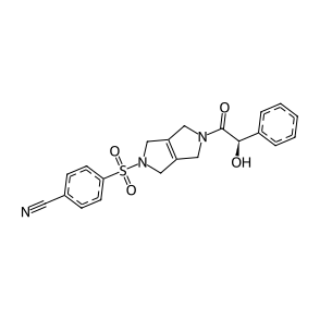 N#Cc1ccc(S(=O)(=O)N2CC3=C(CN(C(=O)[C@H](O)c4ccccc4)C3)C2)cc1